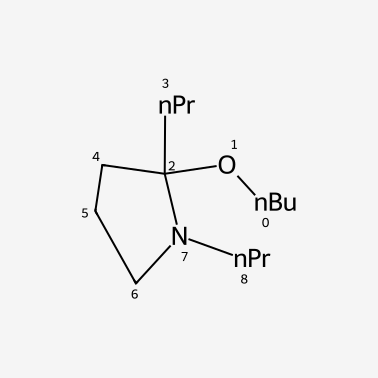 CCCCOC1(CCC)CCCN1CCC